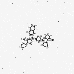 CC1(C)c2ccccc2-c2ccc(N(c3ccc(-n4c5ccccc5c5c(Br)cccc54)cc3)c3ccc4ccccc4c3)cc21